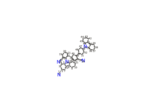 N#Cc1ccc2c(c1)c1ccccc1n2-c1c(C#N)cccc1-c1ccc(C#N)c(-c2ccc(-n3c4ccccc4c4ccccc43)cc2)c1